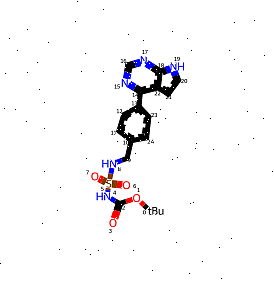 CC(C)(C)OC(=O)NS(=O)(=O)NCc1ccc(-c2ncnc3[nH]ccc23)cc1